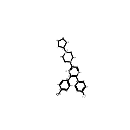 Clc1ccc(-c2ncc(N3CCN(C4CCCC4)CC3)nc2-c2ccc(Cl)cc2)cc1